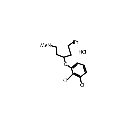 CNCCC(CCC(C)C)Oc1cccc(Cl)c1Cl.Cl